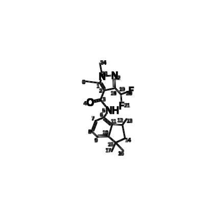 Cc1c(C(=O)Nc2cccc3c2C(C)CC3(C)C)c(C(F)F)nn1C